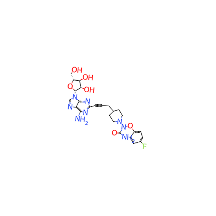 NC(=O)N(Oc1ccc(F)cc1)N1CCC(CC#Cc2nc(N)c3ncn([C@@H]4O[C@H](CO)[C@@H](O)[C@H]4O)c3n2)CC1